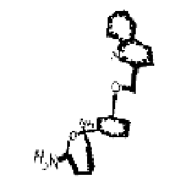 NC1=CC=CC(N)(c2cccc(OCc3ccc4ccccc4n3)c2)O1